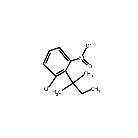 CCC(C)(C)c1c(Cl)cccc1[N+](=O)[O-]